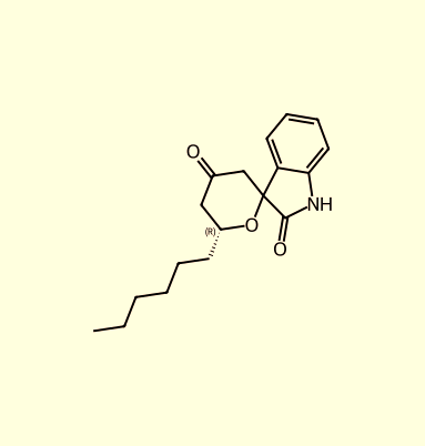 CCCCCC[C@@H]1CC(=O)CC2(O1)C(=O)Nc1ccccc12